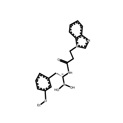 CCOc1cccc(C[C@H](NC(=O)CCn2cnc3ccccc32)B(O)O)c1